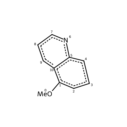 [CH2]Oc1cccc2ncccc12